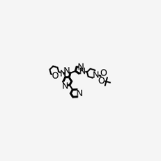 CC(C)(C)OC(=O)N1CCC(n2cc(-c3nn(C4CCCCO4)c4cnc(-c5cccnc5)cc34)cn2)CC1